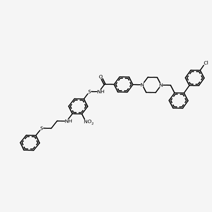 O=C(NSc1ccc(NCCSc2ccccc2)c([N+](=O)[O-])c1)c1ccc(N2CCN(Cc3ccccc3-c3ccc(Cl)cc3)CC2)cc1